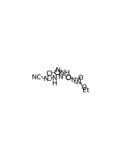 CCOCCN1CCN(c2ccc(-c3nc4c(NC5CCN(CCC#N)CC5)c(Cl)cnc4[nH]3)cc2)CC1=O